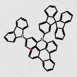 c1cc(N(c2ccc3c(c2)C2(c4ccccc4-c4ccccc42)c2ccccc2-3)c2cccc3c4ccccc4c4ccccc4c23)cc(-n2c3ccccc3c3ccccc32)c1